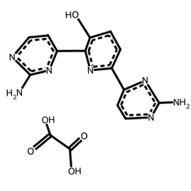 Nc1nccc(-c2ccc(O)c(-c3ccnc(N)n3)n2)n1.O=C(O)C(=O)O